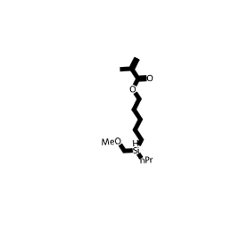 C=C(C)C(=O)OCCCCC[SiH](CCC)COC